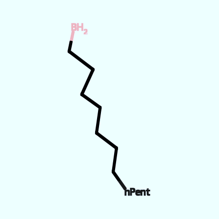 BCCCCCCCCCCCC